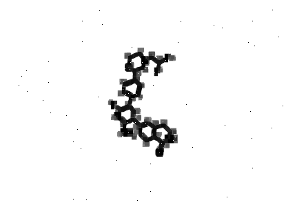 Nc1nc(F)c(-c2ccc(C3CN(CC(F)F)CCO3)cc2)cc1-c1ccc2c(c1)CCNC2=O